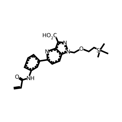 C=CC(=O)Nc1cccc(-c2ccc3c(n2)c(C(=O)O)nn3COCC[Si](C)(C)C)c1